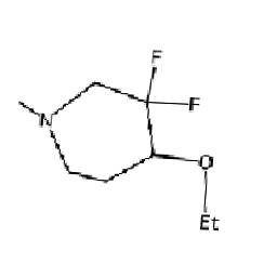 CCOC1CCN(C)CC1(F)F